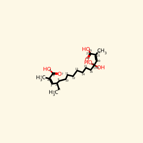 CCC(C=C(C)C(=O)O)CCCCCCCCC(O)(O)C=C(C)C(=O)O